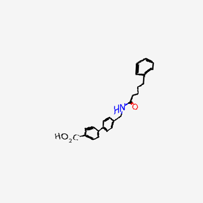 O=C(CCCCc1ccccc1)NCc1ccc(-c2ccc(C(=O)O)cc2)cc1